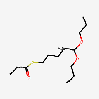 CCCOC(OCCC)[SiH2]CCCSC(=O)CC